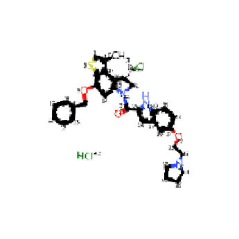 Cc1csc2c(OCc3ccccc3)cc3c(c12)[C@H](CCl)CN3C(=O)c1cc2cc(OCCN3CCCC3)ccc2[nH]1.Cl